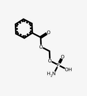 NP(=O)(O)OCOC(=O)c1ccccc1